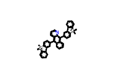 C[Si]1(C)c2ccccc2-c2cc(-c3c4ccccc4c(-c4ccc5c(c4)-c4ccccc4[Si]5(C)C)c4ncccc34)ccc21